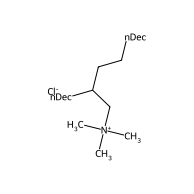 CCCCCCCCCCCCC(CCCCCCCCCC)C[N+](C)(C)C.[Cl-]